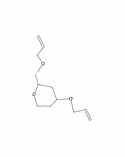 C=CCOCC1CC(OCC=C)CCO1